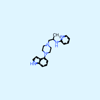 CC(CN1CCN(c2cccc3[nH]ccc23)CC1)Nc1ccccn1